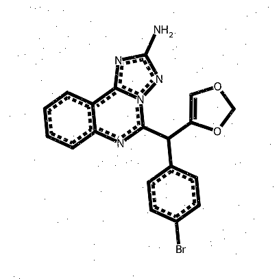 Nc1nc2c3ccccc3nc(C(C3=COCO3)c3ccc(Br)cc3)n2n1